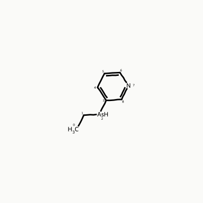 CC[AsH]c1cccnc1